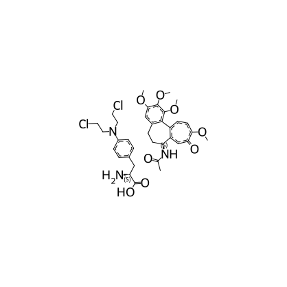 COc1cc2c(c(OC)c1OC)-c1ccc(OC)c(=O)cc1[C@@H](NC(C)=O)CC2.N[C@@H](Cc1ccc(N(CCCl)CCCl)cc1)C(=O)O